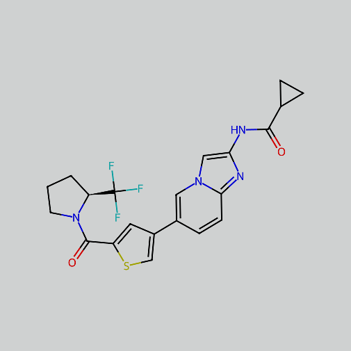 O=C(Nc1cn2cc(-c3csc(C(=O)N4CCC[C@H]4C(F)(F)F)c3)ccc2n1)C1CC1